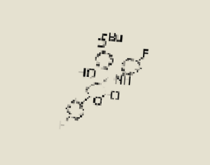 CCCCOc1ccc([C@@H](Nc2ccc(F)cc2)[C@@H]2C(=O)O[C@@H](c3ccc(F)cc3)C[C@@H]2O)cc1